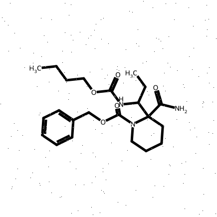 CCCCOC(=O)NC(CC)C1(C(N)=O)CCCCN1C(=O)OCc1ccccc1